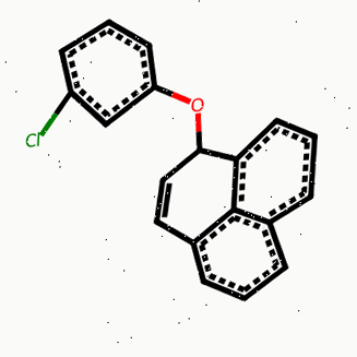 Clc1cccc(OC2C=Cc3cccc4cccc2c34)c1